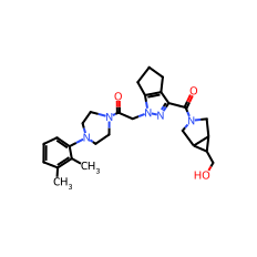 Cc1cccc(N2CCN(C(=O)Cn3nc(C(=O)N4CC5C(CO)C5C4)c4c3CCC4)CC2)c1C